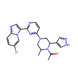 CC(=O)N1C(C)CN(c2ccnc(-c3cnc4ccc(Cl)cn34)n2)CC1c1cn[nH]c1